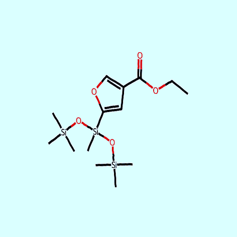 CCOC(=O)c1coc([Si](C)(O[Si](C)(C)C)O[Si](C)(C)C)c1